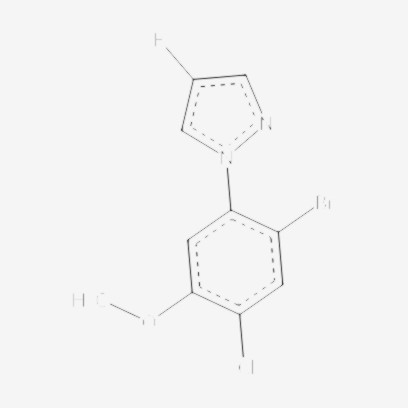 COc1cc(-n2cc(F)cn2)c(Br)cc1Cl